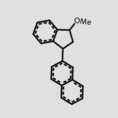 COC1CC(c2ccc3ccccc3c2)c2ccccc21